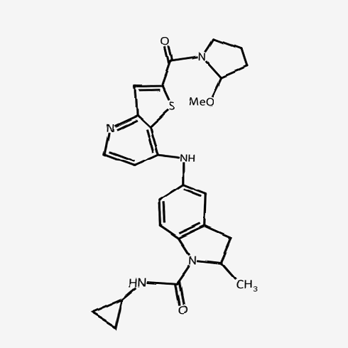 COC1CCCN1C(=O)c1cc2nccc(Nc3ccc4c(c3)CC(C)N4C(=O)NC3CC3)c2s1